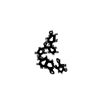 O=C1CCC(N2Cc3cc(SC4CCN(C(=O)c5ccccc5-c5ccc(Cl)cc5)C4)ccc3C2=O)C(=O)N1